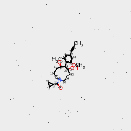 CC#Cc1cc(C)c(C2C(=O)CCCN(C(=O)C3CC3)CCCC2O)c(OC)c1